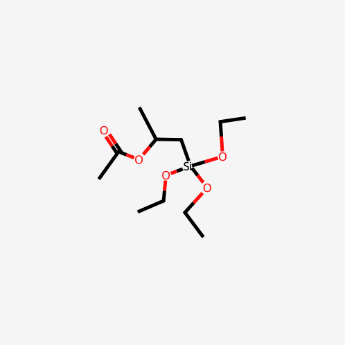 CCO[Si](CC(C)OC(C)=O)(OCC)OCC